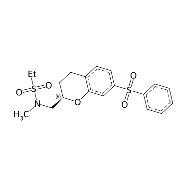 CCS(=O)(=O)N(C)C[C@H]1CCc2ccc(S(=O)(=O)c3ccccc3)cc2O1